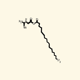 CCCCCCCCCCCCCCCCCC(=O)OC(=O)CNC(=N)N